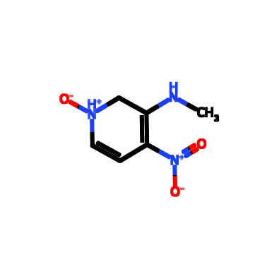 CNC1=C([N+](=O)[O-])C=C[NH+]([O-])C1